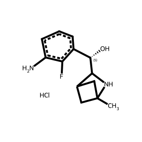 CC12CC(C1)C([C@@H](O)c1cccc(N)c1F)N2.Cl